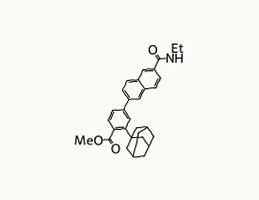 CCNC(=O)c1ccc2cc(-c3ccc(C(=O)OC)c(C45CC6CC(CC(C6)C4)C5)c3)ccc2c1